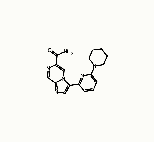 NC(=O)c1cn2c(-c3cccc(N4CCCCC4)n3)cnc2cn1